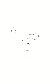 CCC(C)C(CN[C@H]1CCc2cccc3c2N(C1=O)[C@H](C(=O)NCc1ccon1)C3)NC(C)=O